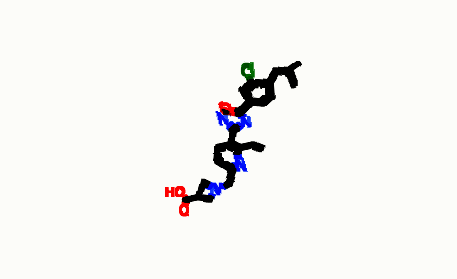 CCc1nc(CN2CC(C(=O)O)C2)ccc1-c1noc(-c2ccc(CC(C)C)c(Cl)c2)n1